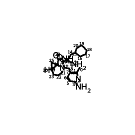 Cc1nc(N)ccc1C[N+]1(C(=O)[C@H](N)CC2CCCCC2)CCC[C@@H]2C[C@@]21C(N)=O